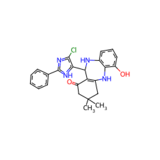 CC1(C)CC(=O)C2=C(C1)Nc1c(O)cccc1NC2c1[nH]c(-c2ccccc2)nc1Cl